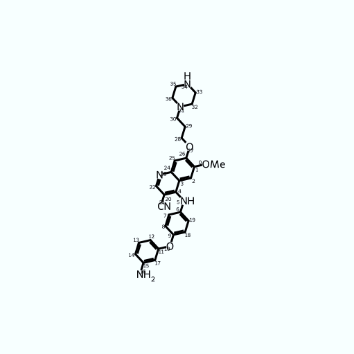 COc1cc2c(Nc3ccc(Oc4cccc(N)c4)cc3)c(C#N)cnc2cc1OCCCN1CCNCC1